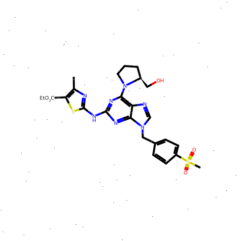 CCOC(=O)c1sc(Nc2nc(N3CCC[C@H]3CO)c3ncn(Cc4ccc(S(C)(=O)=O)cc4)c3n2)nc1C